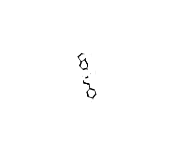 Clc1ccc(-c2cnc(Nc3ccc4cc[nH]c4c3)o2)cc1